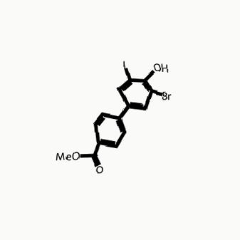 COC(=O)c1ccc(-c2cc(Br)c(O)c(I)c2)cc1